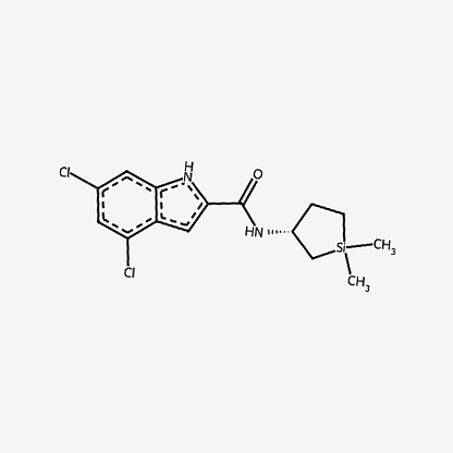 C[Si]1(C)CC[C@@H](NC(=O)c2cc3c(Cl)cc(Cl)cc3[nH]2)C1